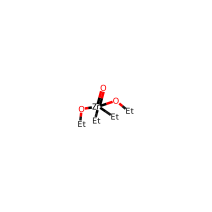 CC[O][Zr](=[O])([CH2]C)([CH2]C)[O]CC